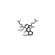 CN(C)CCNC1(CN)C=Cc2c(CCN(C)C)[nH]n3c2c1c(=O)c1c(O)cccc13